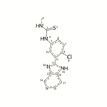 CNC(=S)Nc1ccc(Cl)c(-c2nc3ccccc3[nH]2)c1